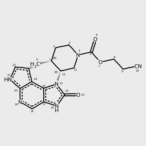 C[C@@H]1CCN(C(=O)OCCC#N)C[C@@H]1n1c(=O)[nH]c2cnc3[nH]ccc3c21